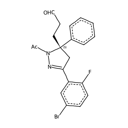 CC(=O)N1N=C(c2cc(Br)ccc2F)C[C@@]1(CCC=O)c1ccccc1